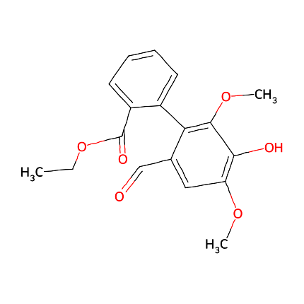 CCOC(=O)c1ccccc1-c1c(C=O)cc(OC)c(O)c1OC